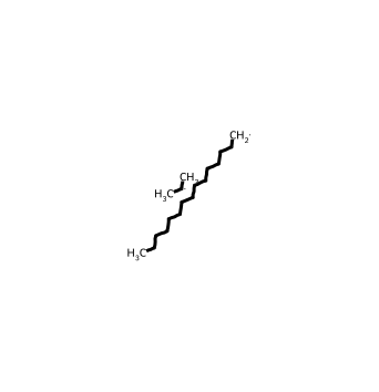 C[CH]C.[CH2]CCCCCCCCCCCCCC